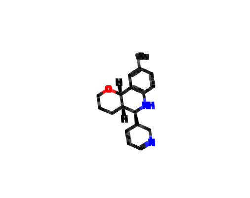 CC(C)(C)c1ccc2c(c1)[C@H]1OCCC[C@H]1[C@H](C1C=CC=NC1)N2